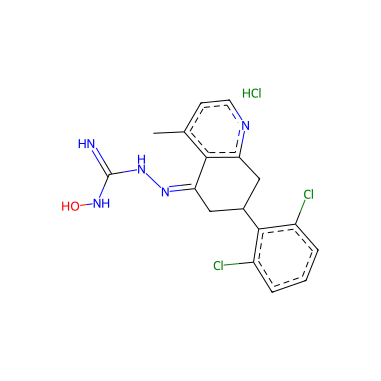 Cc1ccnc2c1/C(=N\NC(=N)NO)CC(c1c(Cl)cccc1Cl)C2.Cl